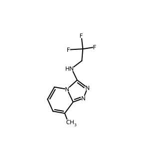 Cc1cccn2c(NCC(F)(F)F)nnc12